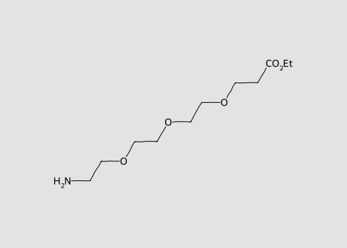 CCOC(=O)CCOCCOCCOCCN